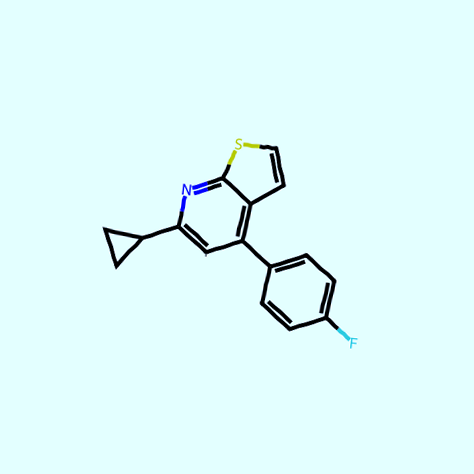 Fc1ccc(-c2[c]c(C3CC3)nc3sccc23)cc1